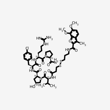 COc1ccc2c(C)c(C(=O)NCCCSSCCC(=O)N[C@H](C(=O)N3C[C@H](O)C[C@H]3C(=O)N[C@@H](Cc3ccc(Cl)cc3)C(=O)N[C@@H](CCCNC(=N)N)C(=O)N3CCC[C@H]3C(N)=O)C(C)C)oc2c1OC